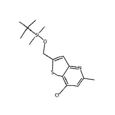 Cc1cc(Cl)c2sc(CO[Si](C)(C)C(C)(C)C)cc2n1